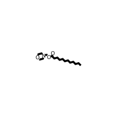 CCCCCCCCCCCC(=O)OCN1CCOCC1